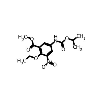 CCOc1c(C(=O)OC)cc(NC(=O)OC(C)C)cc1[N+](=O)[O-]